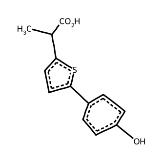 CC(C(=O)O)c1ccc(-c2ccc(O)cc2)s1